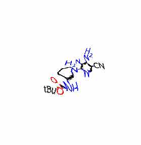 CC(C)(C)OC(=O)N[C@H]1CCCN(c2ncc(C#N)c(N)c2N)C1